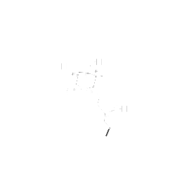 C=CC[C@H](O)CO[C@@H]1O[C@H](CO)[C@H](O)[C@H](O)[C@H]1O